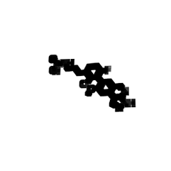 COc1cc2c(cnc3[nH]ncc32)cc1-c1c(F)ccc(CCCN[SH](=O)=O)c1Cl